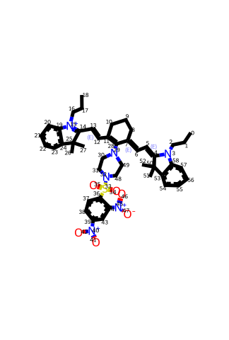 CCCN1/C(=C/C=C2\CCCC(/C=C/C3=[N+](CCC)c4ccccc4C3(C)C)=C2N2CCN(S(=O)(=O)c3ccc([N+](=O)[O-])cc3[N+](=O)[O-])CC2)C(C)(C)c2ccccc21